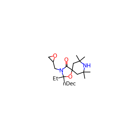 CCCCCCCCCCC1(CC)OC2(CC(C)(C)NC(C)(C)C2)C(=O)N1CC1CO1